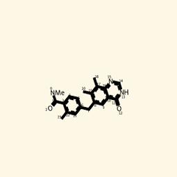 CNC(=O)c1ccc(Cc2cc3c(=O)[nH]cnc3c(C)c2C)cc1C